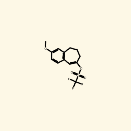 COc1ccc2c(c1)CCCC(OS(=O)(=O)C(F)(F)F)=C2